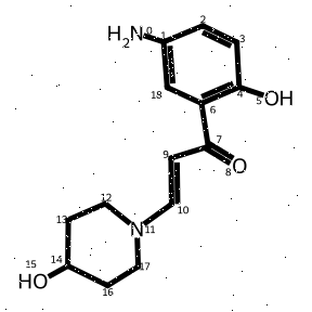 Nc1ccc(O)c(C(=O)C=CN2CCC(O)CC2)c1